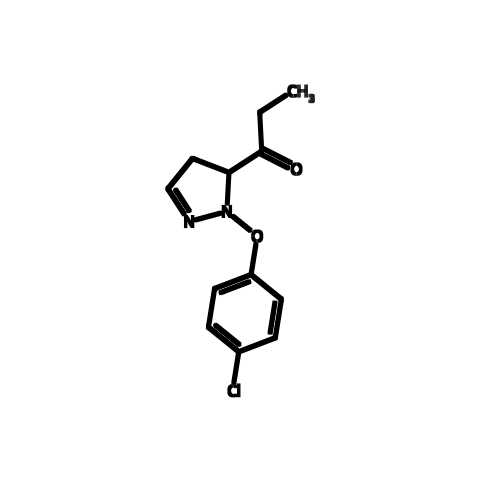 CCC(=O)C1CC=NN1Oc1ccc(Cl)cc1